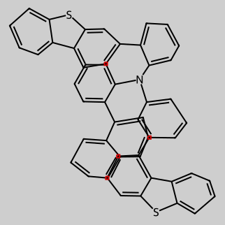 c1cc(-c2cccc3sc4ccccc4c23)cc(N(c2ccccc2-c2ccc3c(c2)sc2ccccc23)c2ccccc2-c2cccc3ccccc23)c1